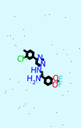 Cc1ccc(-c2cc(NC[C@H](N)c3ccc4c(c3)OC(F)(F)O4)ncn2)cc1Cl